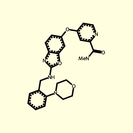 CNC(=O)c1cc(Oc2ccc3nc(NCc4ccccc4N4CCOCC4)oc3c2)ccn1